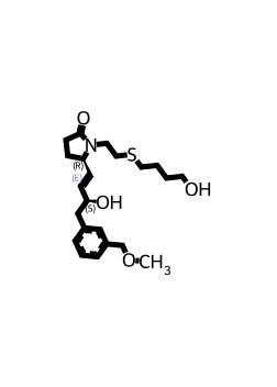 COCc1cccc(C[C@H](O)/C=C/[C@H]2CCC(=O)N2CCSCCCCO)c1